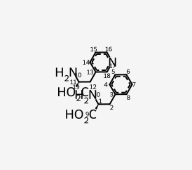 N[C@@H](Cc1ccccc1)C(=O)O.N[C@@H](Cc1cccnc1)C(=O)O